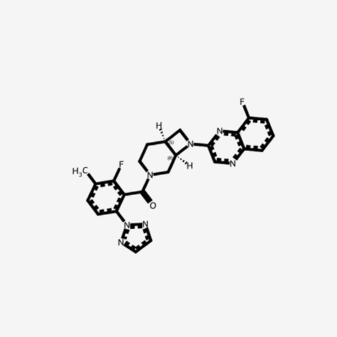 Cc1ccc(-n2nccn2)c(C(=O)N2CC[C@H]3CN(c4cnc5cccc(F)c5n4)[C@H]3C2)c1F